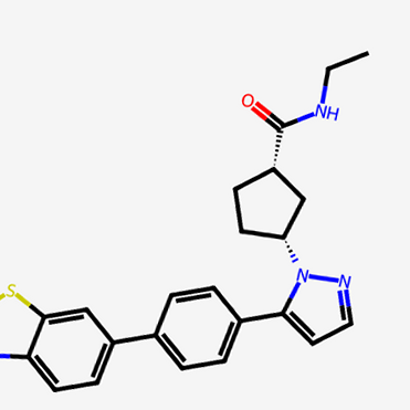 CCNC(=O)[C@H]1CC[C@@H](n2nccc2-c2ccc(-c3ccc4ncsc4c3)cc2)C1